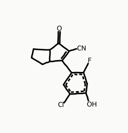 N#CC1=C(c2cc(Cl)c(O)cc2F)C2CCCC2C1=O